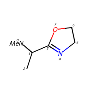 CNC(C)C1=NCCO1